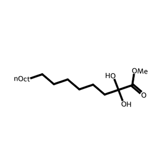 CCCCCCCCCCCCCCC(O)(O)C(=O)OC